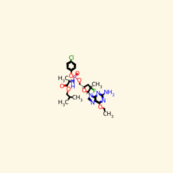 CCOc1nc(N)nc2c1ncn2[C@@H]1O[C@H](COP(=O)(N[C@@H](C)C(=O)OCC(C)C)Oc2ccc(Cl)cc2)C[C@@]1(C)F